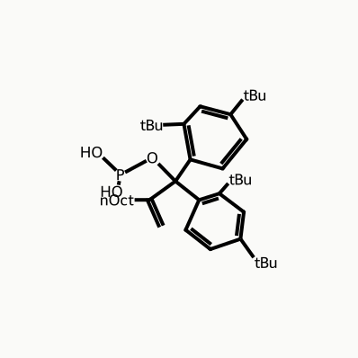 C=C(CCCCCCCC)C(OP(O)O)(c1ccc(C(C)(C)C)cc1C(C)(C)C)c1ccc(C(C)(C)C)cc1C(C)(C)C